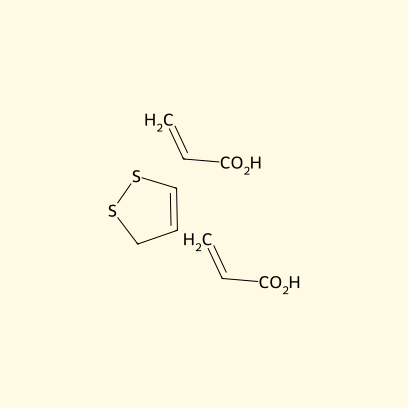 C1=CSSC1.C=CC(=O)O.C=CC(=O)O